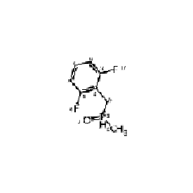 C[PH](=O)Cc1c(F)cccc1F